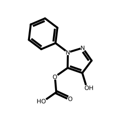 O=C(O)Oc1c(O)cnn1-c1ccccc1